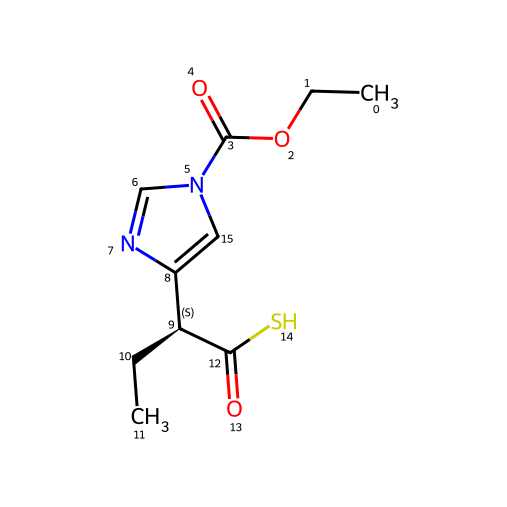 CCOC(=O)n1cnc([C@H](CC)C(=O)S)c1